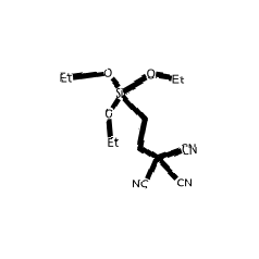 CCO[Si](CCC(C#N)(C#N)C#N)(OCC)OCC